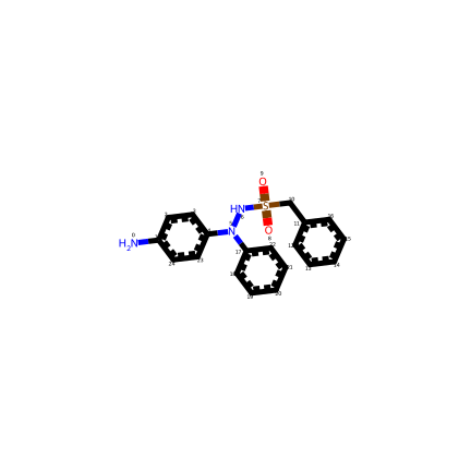 Nc1ccc(N(NS(=O)(=O)Cc2ccccc2)c2ccccc2)cc1